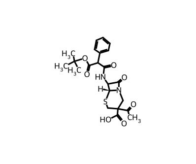 CC(=O)C1(C(=O)O)CS[C@@H]2C(NC(=O)C(C(=O)OC(C)(C)C)c3ccccc3)C(=O)N2C1